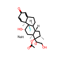 CC(=O)O[C@]1(C(=O)CO)[C@@H](C)C[C@H]2[C@@H]3CCC4=CC(=O)C=C[C@]4(C)[C@@]3(F)[C@@H](O)C[C@@]21C.[NaH]